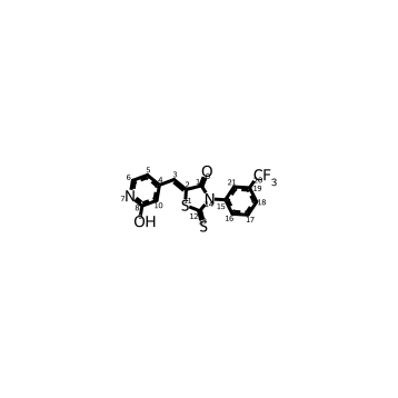 O=C1C(=Cc2ccnc(O)c2)SC(=S)N1c1cccc(C(F)(F)F)c1